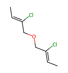 CC=C(Cl)COCC(Cl)=CC